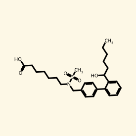 CCCCCC(O)c1ccccc1-c1ccc(CN(CCCCCCC(=O)O)S(C)(=O)=O)cc1